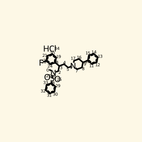 CN(CC(CCN1CCC(c2ccccc2)CC1)c1cccc(F)c1)S(=O)(=O)c1ccccc1.Cl